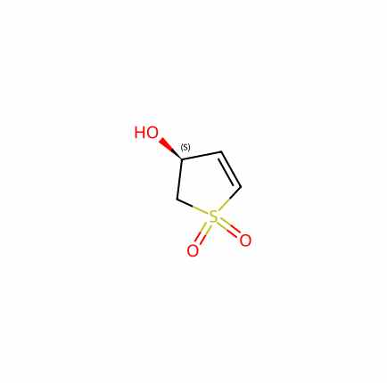 O=S1(=O)C=C[C@H](O)C1